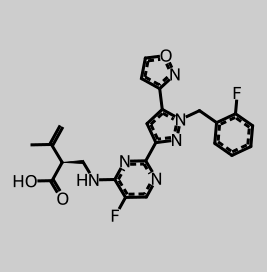 C=C(C)[C@@H](CNc1nc(-c2cc(-c3ccon3)n(Cc3ccccc3F)n2)ncc1F)C(=O)O